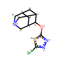 Brc1nnc(OC2C3CC4CC2CN(C4)C3)s1